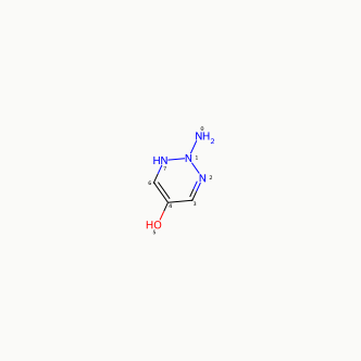 NN1N=CC(O)=CN1